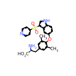 Cc1cc(C[C@H](N)C(=O)O)cc(C)c1Oc1ccc2[nH]cc(S(=O)(=O)c3ccncc3)c2c1